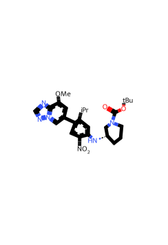 COc1cc(-c2cc([N+](=O)[O-])c(N[C@H]3CCCN(C(=O)OC(C)(C)C)C3)cc2C(C)C)cn2ncnc12